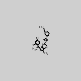 C[C@H](c1ccc(Cl)cc1Cl)n1nc(N)c2ncc(N3CC([C@H]4CCCN(CCO)C4)C3)nc21